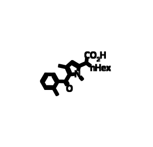 CCCCCCC(C(=O)O)c1cc(C)c(C(=O)c2ccccc2C)n1C